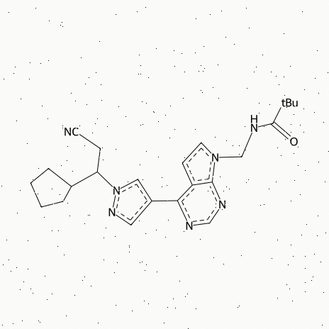 CC(C)(C)C(=O)NCn1ccc2c(-c3cnn(C(CC#N)C4CCCC4)c3)ncnc21